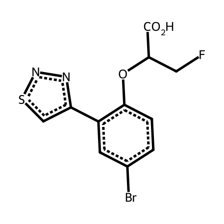 O=C(O)C(CF)Oc1ccc(Br)cc1-c1csnn1